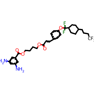 Nc1cc(N)cc(C(=O)OCCCCOC(=O)/C=C/c2ccc(OC(F)(F)C3CCC(CCCC(F)(F)F)CC3)cc2)c1